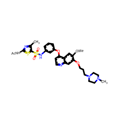 COc1cc2c(Oc3cccc(NS(=O)(=O)c4sc(NC(C)=O)nc4C)c3)ccnc2cc1OCCCN1CCN(C)CC1